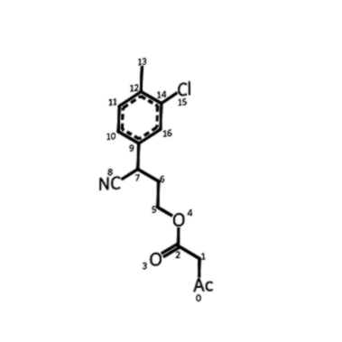 CC(=O)CC(=O)OCCC(C#N)c1ccc(C)c(Cl)c1